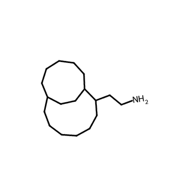 NCCC1CCCCCCC2CCCCCC1CC2